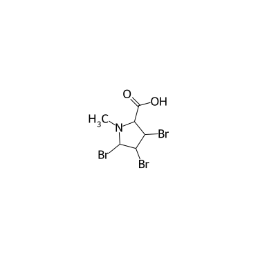 CN1C(Br)C(Br)C(Br)C1C(=O)O